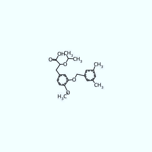 COc1ccc(CC(OC(C)C)C(=O)O)cc1OCc1cc(C)cc(C)c1